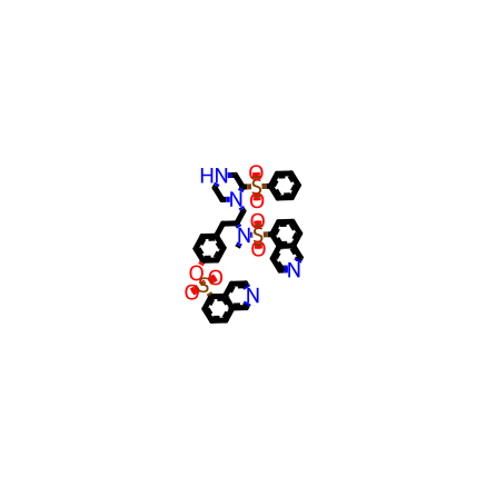 CN(C(Cc1ccc(OS(=O)(=O)c2cccc3cnccc23)cc1)CN1CCNCC1S(=O)(=O)c1ccccc1)S(=O)(=O)c1cccc2cnccc12